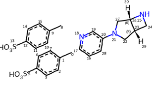 Cc1ccc(S(=O)(=O)O)cc1.Cc1ccc(S(=O)(=O)O)cc1.c1cncc(N2C[C@H]3CN[C@H]3C2)c1